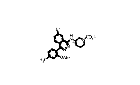 COc1cc(C)ccc1-c1nnc(N[C@@H]2CCCN(C(=O)O)C2)c2cc(Br)ccc12